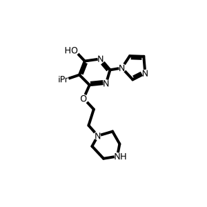 CC(C)c1c(O)nc(-n2ccnc2)nc1OCCN1CCNCC1